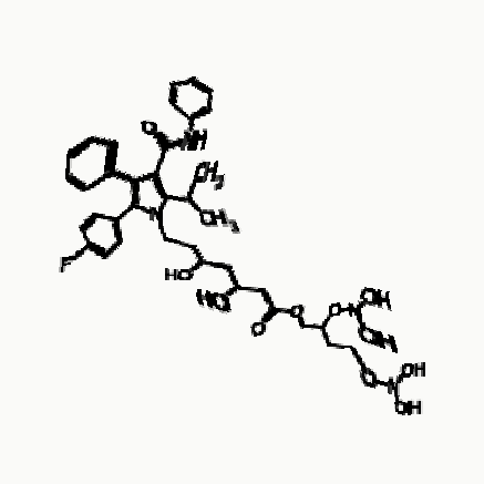 CC(C)c1c(C(=O)Nc2ccccc2)c(-c2ccccc2)c(-c2ccc(F)cc2)n1CCC(O)CC(O)CC(=O)OCC(CCON(O)O)ON(O)O